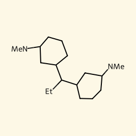 CCC(C1CCCC(NC)C1)C1CCCC(NC)C1